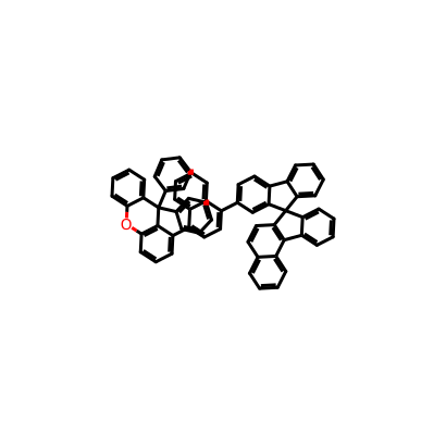 c1ccc(C2(c3ccccc3)c3ccccc3Oc3cccc(-c4ccc(-c5ccc6c(c5)C5(c7ccccc7-6)c6ccccc6-c6c5ccc5ccccc65)c5ccccc45)c32)cc1